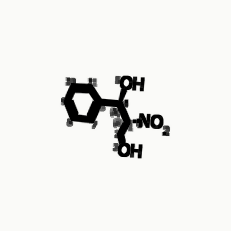 O=[N+]([O-])[C@H](CO)[C@H](O)c1ccccc1